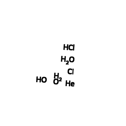 Cl.O.O.[C].[He].[OH]